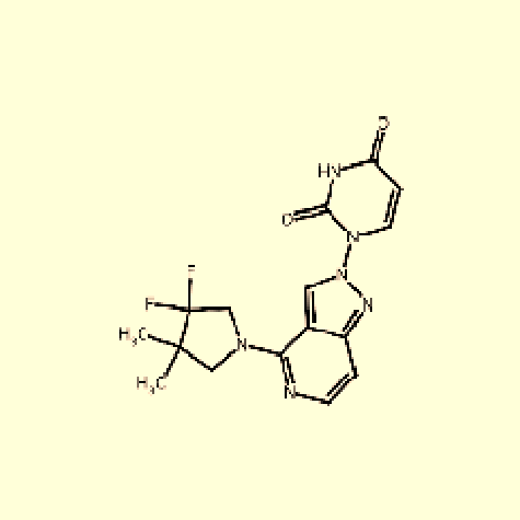 CC1(C)CN(c2nccc3nn(-n4ccc(=O)[nH]c4=O)cc23)CC1(F)F